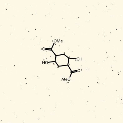 COC(=O)C1CC(O)C(C(=O)OC)CC1O